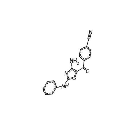 N#Cc1ccc(C(=O)c2sc(Nc3ccccc3)nc2N)cc1